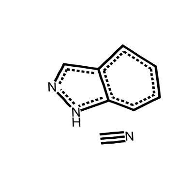 C#N.c1ccc2[nH]ncc2c1